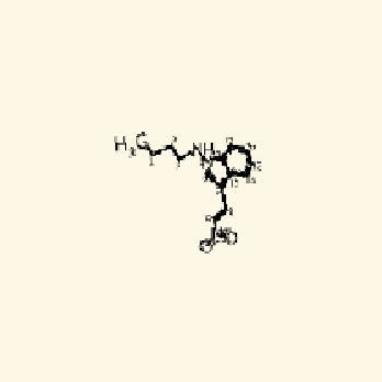 CCCCNn1cc(C=C[N+](=O)[O-])c2ccccc21